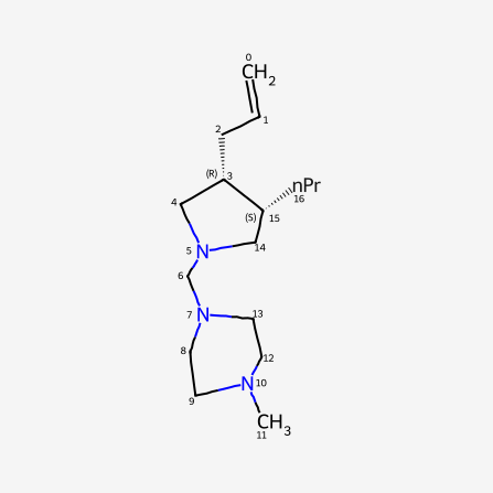 C=CC[C@H]1CN(CN2CCN(C)CC2)C[C@H]1CCC